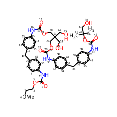 COCCOC(=O)Nc1ccc(Cc2ccc(NC(=O)OCC(CO)(CO)COC(=O)Nc3ccc(Cc4ccc(NC(=O)OC(C)(C)CO)cc4)cc3)cc2)cc1